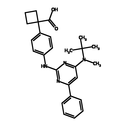 CN(c1cc(-c2ccccc2)nc(Nc2ccc(C3(C(=O)O)CCC3)cc2)n1)C(C)(C)C